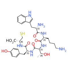 C[C@@H](O)[C@H](NC(=O)[C@H](CCCCN)NC(=O)[C@@H](N)Cc1c[nH]c2ccccc12)C(=O)N[C@@H](Cc1ccc(O)cc1)C(=O)N[C@@H](CS)C(=O)O